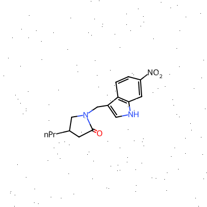 CCCC1CC(=O)N(Cc2c[nH]c3cc([N+](=O)[O-])ccc23)C1